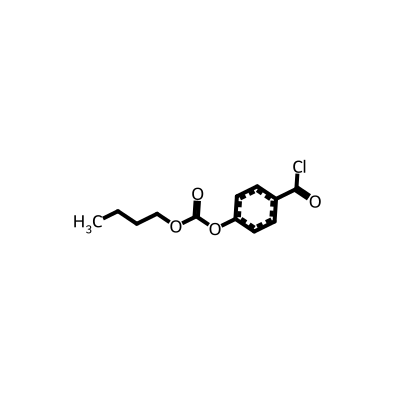 CCCCOC(=O)Oc1ccc(C(=O)Cl)cc1